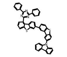 c1ccc(-c2nc(-c3ccccc3)nc(-c3cccc4sc5cc(-c6ccc7sc8ccc(-n9c%10ccccc%10c%10ccccc%109)cc8c7c6)ccc5c34)n2)cc1